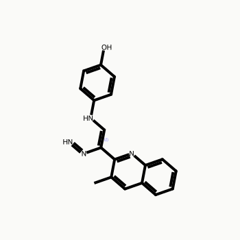 Cc1cc2ccccc2nc1/C(=C/Nc1ccc(O)cc1)N=N